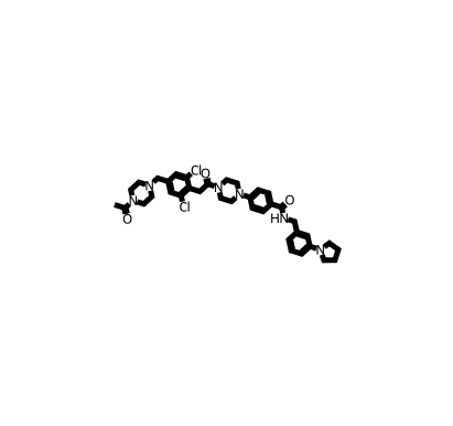 CC(=O)N1CCN(Cc2cc(Cl)c(CC(=O)N3CCN(c4ccc(C(=O)NCc5cccc(N6CCCC6)c5)cc4)CC3)c(Cl)c2)CC1